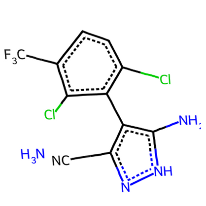 N.N#Cc1n[nH]c(N)c1-c1c(Cl)ccc(C(F)(F)F)c1Cl